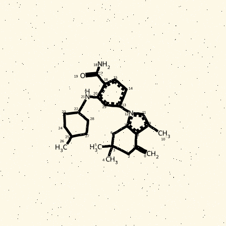 C=C1CC(C)(C)Cc2c1c(C)cn2-c1ccc(C(N)=O)c(NC2CCC(C)CC2)c1